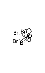 Cc1cccc(OP(=O)(OCC(Br)CBr)OCC(Br)CBr)c1